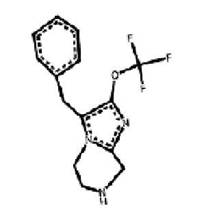 FC(F)(F)Oc1nc2n(c1Cc1ccccc1)CCNC2